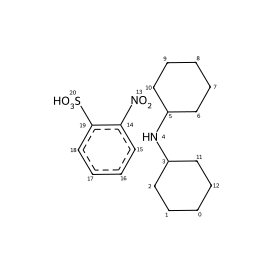 C1CCC(NC2CCCCC2)CC1.O=[N+]([O-])c1ccccc1S(=O)(=O)O